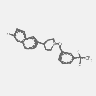 [O]c1ccc2cc(C3CCN(Oc4cccc(C(F)(F)C(F)(F)F)c4)CC3)ccc2c1